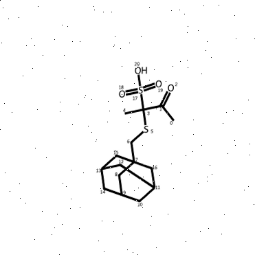 CC(=O)C(C)(SCC12CC3CC(CC(C3)C1)C2)S(=O)(=O)O